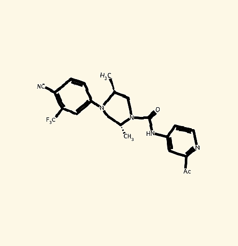 CC(=O)c1cc(NC(=O)N2C[C@H](C)N(c3ccc(C#N)c(C(F)(F)F)c3)C[C@H]2C)ccn1